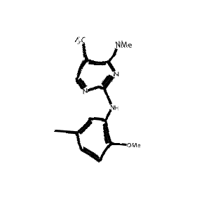 CNc1nc(Nc2cc(C)[c]cc2OC)ncc1C(F)(F)F